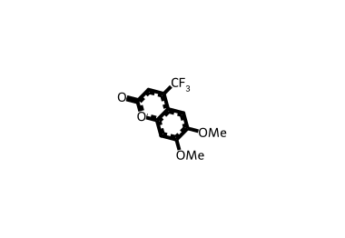 COc1cc2oc(=O)cc(C(F)(F)F)c2cc1OC